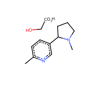 Cc1ccc(C2CCCN2C)cn1.O=C(O)CO